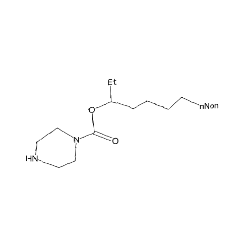 CCCCCCCCCCCCCC(CC)OC(=O)N1CCNCC1